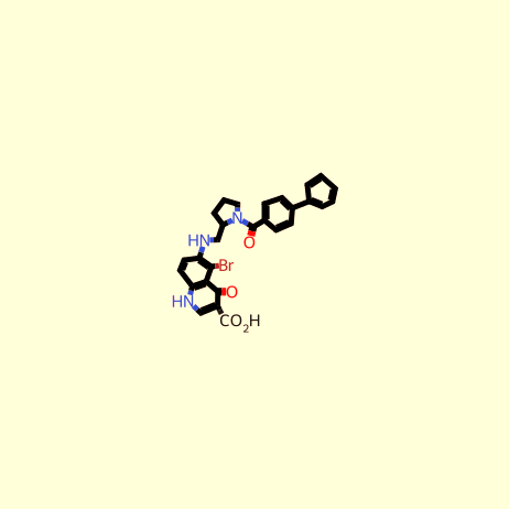 O=C(O)c1c[nH]c2ccc(NCC3CCCN3C(=O)c3ccc(-c4ccccc4)cc3)c(Br)c2c1=O